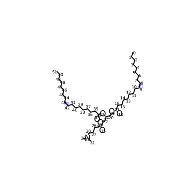 CCCCCCCC/C=C\CCCCCCCC(=O)OCC(COC(=O)CCCN(C)C)OC(=O)CCCCCCC/C=C\CCCCCCCC